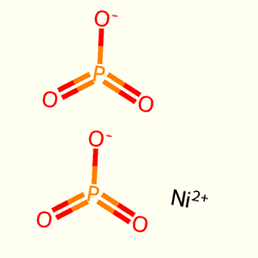 O=P(=O)[O-].O=P(=O)[O-].[Ni+2]